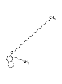 CCCCCCCCCCCCCCCCCCOc1ccc2ccccc2c1CCCN